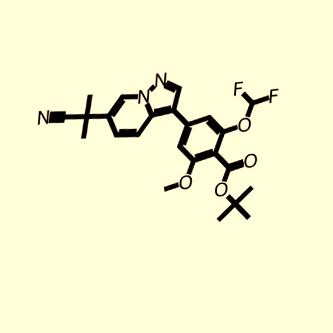 COc1cc(-c2cnn3cc(C(C)(C)C#N)ccc23)cc(OC(F)F)c1C(=O)OC(C)(C)C